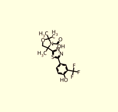 CC1(C)OCC(C)(c2nnc(-c3ccc(O)c(C(F)(F)F)c3)s2)N1C(=O)O